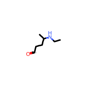 CCNC(C)CC[C]=O